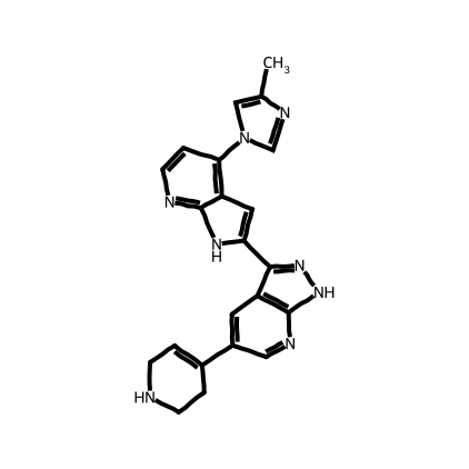 Cc1cn(-c2ccnc3[nH]c(-c4n[nH]c5ncc(C6=CCNCC6)cc45)cc23)cn1